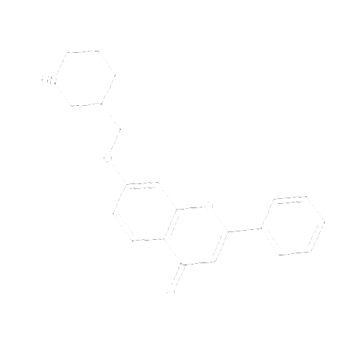 O=c1cc(-c2ccccc2)oc2cc(OCC3CCCNC3)ccc12